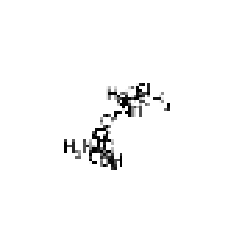 CC(C)(C)OC(=O)NCCOc1ccc([C@@](C)(N)C(=O)O)cc1